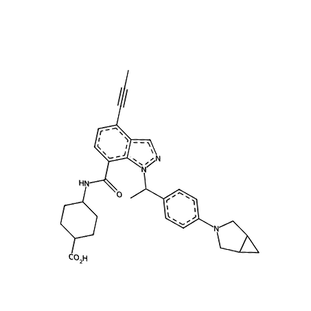 CC#Cc1ccc(C(=O)NC2CCC(C(=O)O)CC2)c2c1cnn2C(C)c1ccc(N2CC3CC3C2)cc1